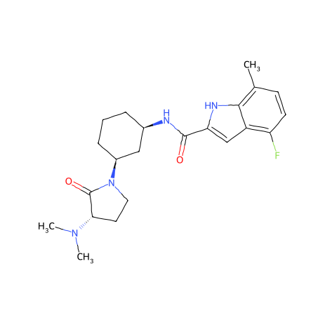 Cc1ccc(F)c2cc(C(=O)N[C@@H]3CCC[C@H](N4CC[C@H](N(C)C)C4=O)C3)[nH]c12